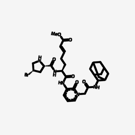 COC(=O)/C=C/CC[C@H](NC(=O)[C@@H]1C[C@H](Br)CN1)C(=O)Nc1cccn(CC(=O)NC2C3CC4CC(C3)CC2C4)c1=O